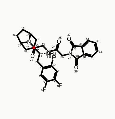 N[C@H](Cc1cc(F)c(F)cc1F)C1CC2CCC(C1)N2C(=O)CNC(=O)CN1C(=O)c2ccccc2C1=O